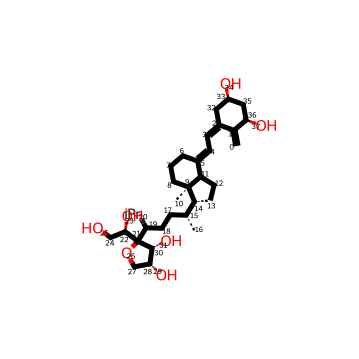 C=C1/C(=C\C=C2CCC[C@@]3(C)C2CC[C@@H]3[C@H](C)CCC(C(C)C)C2([C@H](O)CO)OC[C@@H](O)[C@H]2O)C[C@@H](O)C[C@H]1O